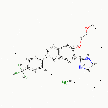 COCCOc1cc2ccc(-c3ccc(C(F)(F)F)cc3)cc2cc1C1=NCCN1.Cl